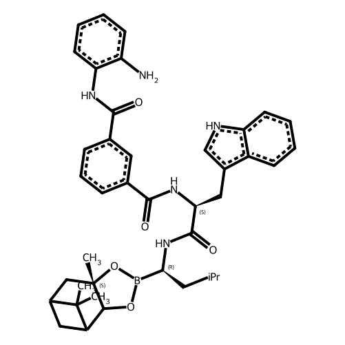 CC(C)C[C@H](NC(=O)[C@H](Cc1c[nH]c2ccccc12)NC(=O)c1cccc(C(=O)Nc2ccccc2N)c1)B1OC2C3CC(C[C@]2(C)O1)C3(C)C